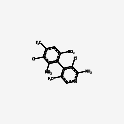 Nc1ncc(C(F)(F)F)c(-c2c([N+](=O)[O-])cc(C(F)(F)F)c(Cl)c2[N+](=O)[O-])c1Cl